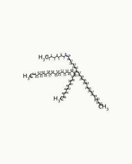 CCCCCCCC/C=C\CCCCCCC(CCCCCCCCCCCCCCCCCC)[C](CCCCCCCCCCCC)CCCCCCCCCCCCCCCCCC